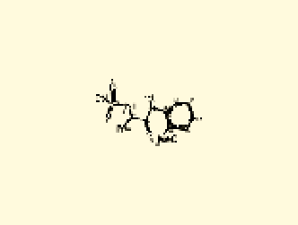 CCN(C(=O)C(NS(=O)(=O)CC)C(C)C)c1ccccc1OC